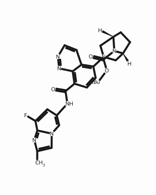 Cc1cn2cc(NC(=O)c3ccc(N4C[C@H]5CC[C@@H](C4)N5C(=O)OC(C)(C)C)c4ccnnc34)cc(F)c2n1